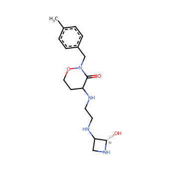 Cc1ccc(CN2OCCC(NCCNC3CN[C@H]3O)C2=O)cc1